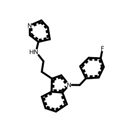 Fc1ccc(Cn2cc(CCNc3cccnc3)c3ccccc32)cc1